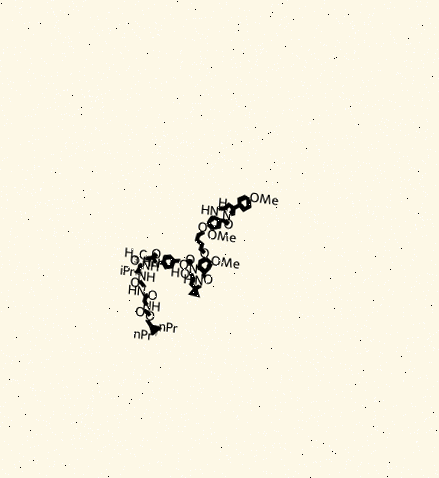 CCC[C@@H]1C(COC(=O)NCC(=O)NCC(=O)N[C@H](C(=O)N[C@@H](C)C(=O)Nc2ccc(COC(=O)N3c4cc(OCCCCCOc5cc6c(cc5OC)C(=O)N5C=C(c7ccc(OC)cc7)C[C@H]5CN6)c(OC)cc4C(=O)N4CC5(CC5)C[C@H]4C3O)cc2)C(C)C)[C@@H]1CCC